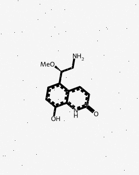 CO[C@@H](CN)c1ccc(O)c2[nH]c(=O)ccc12